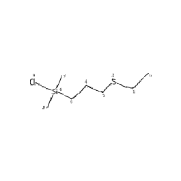 CCSCCC[Si](C)(C)Cl